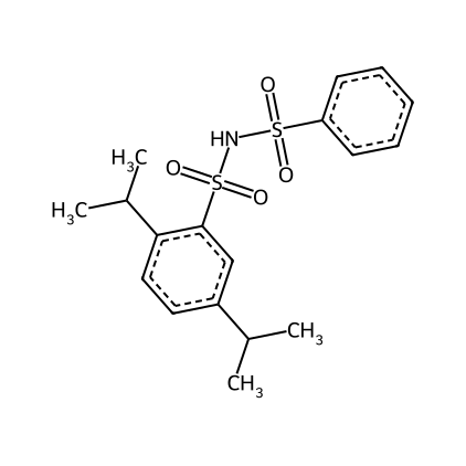 CC(C)c1ccc(C(C)C)c(S(=O)(=O)NS(=O)(=O)c2ccccc2)c1